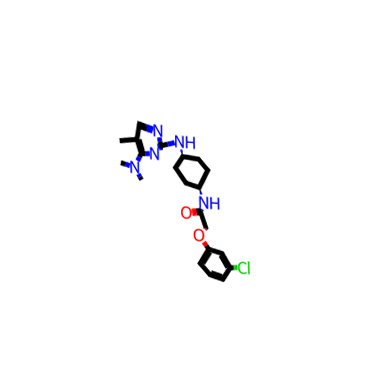 Cc1cnc(N[C@H]2CC[C@@H](NC(=O)COc3cccc(Cl)c3)CC2)nc1N(C)C